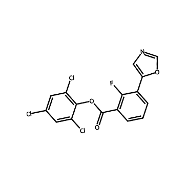 O=C(Oc1c(Cl)cc(Cl)cc1Cl)c1cccc(-c2cnco2)c1F